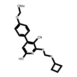 COCOc1ccc(-c2cc(O)nc(SCSC3CCC3)c2C#N)cc1